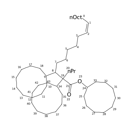 CCCCCCCC/C=C\CCCCCC(C1CCCCCCCCC1)C(CCC)(C(=O)OC1CCCCCCCCC1)C1CCCCCCCCC1